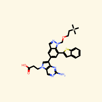 C[Si](C)(C)CCOCn1ncc2cc(-c3cn(CCC(=O)O)c4cnc(N)nc34)cc(-c3cc4ccccc4s3)c21